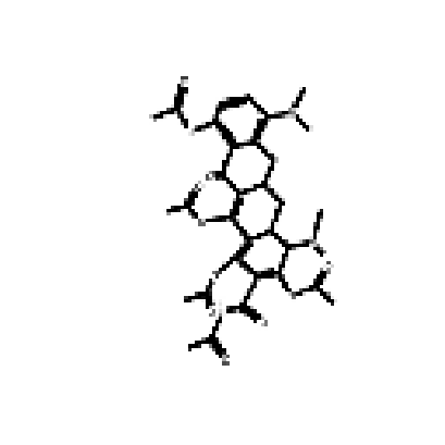 CC(=O)NC(=O)C1=C(OC(C)=O)C(N(C)C)C2CC3Cc4c(N(C)C)ccc(OC(C)=O)c4C(=O)C3=C(OC(C)=O)C2=C1OC(C)=O